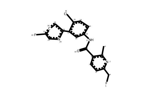 Cc1nc(CF)ccc1C(=O)Nc1ccc(Cl)c(-c2ccc(F)cn2)c1